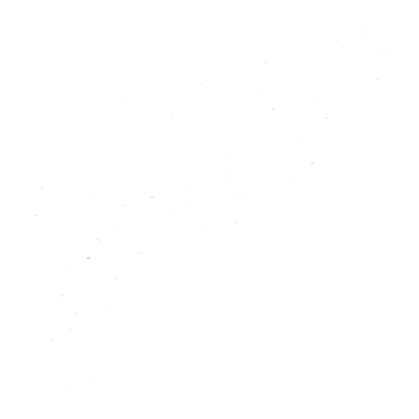 CC1(C)c2ccccc2-c2c1cc(-c1cccc3sc4c(-c5ccccc5)cccc4c13)c1c2oc2c(-c3ccc(N(c4ccccc4)c4ccc(-c5ccccc5)cc4)cc3)cccc21